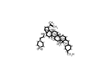 C=C(C)[C@@H]1CC[C@]2(NCCN3CCS(=O)(=O)CC3)CC[C@]3(C)[C@H](CC[C@@H]4[C@@]5(C)CC=C(CC6CCC(C(=O)O)CC6)C(C)(C)[C@@H]5CC[C@]43C)[C@@H]12